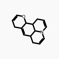 C1=COC2C(=CC3CC=CN4C=CCC2C34)C1